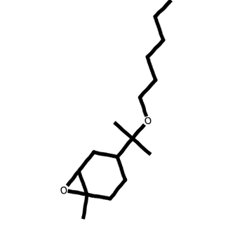 CCCCCCOC(C)(C)C1CCC2(C)OC2C1